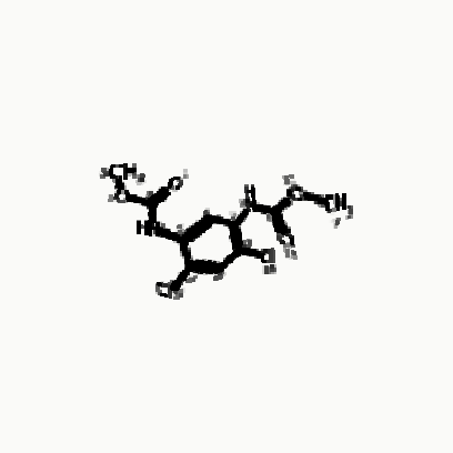 COC(=O)Nc1cc(NC(=O)OC)c(Cl)cc1Cl